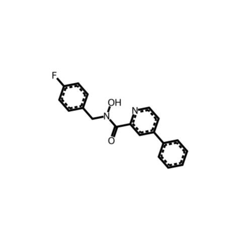 O=C(c1cc(-c2ccccc2)ccn1)N(O)Cc1ccc(F)cc1